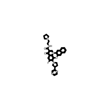 O=C(NCCN1CCCC1)c1cn2c3c(c(N4CCC(c5cnccn5)C4)c(F)cc3c1=O)Oc1cc3ccccc3cc1-2